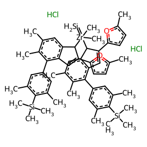 Cc1ccc(C2=Cc3c(cc(C)c(C)c3-c3cc(C)c([Si](C)(C)C)c(C)c3)[CH]2[Zr]([CH3])([CH3])(=[SiH2])[CH]2C(c3ccc(C)o3)=Cc3c2cc(C)c(C)c3-c2cc(C)c([Si](C)(C)C)c(C)c2)o1.Cl.Cl